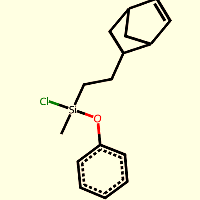 C[Si](Cl)(CCC1CC2C=CC1C2)Oc1ccccc1